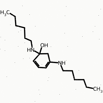 CCCCCCNC1=CC=CC(O)(NCCCCCC)C1